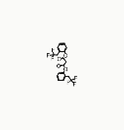 O=C(CC(=O)Oc1ccccc1CC(F)(F)F)Oc1ccccc1CC(F)(F)F